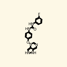 O=C(Nc1ccc(ON2C=NC=C3NNC=C32)cc1)Nc1cccc(F)c1